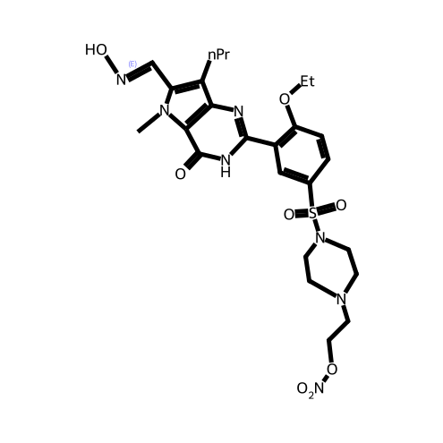 CCCc1c(/C=N/O)n(C)c2c(=O)[nH]c(-c3cc(S(=O)(=O)N4CCN(CCO[N+](=O)[O-])CC4)ccc3OCC)nc12